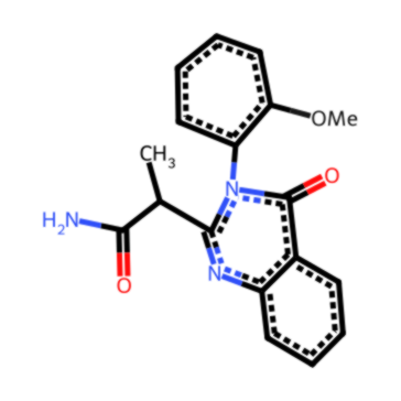 COc1ccccc1-n1c(C(C)C(N)=O)nc2ccccc2c1=O